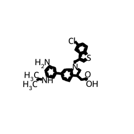 CC(C)Nc1cc(N)cc(-c2ccc3c(c2)N(Cc2csc4ccc(Cl)cc24)CC3CC(=O)O)c1